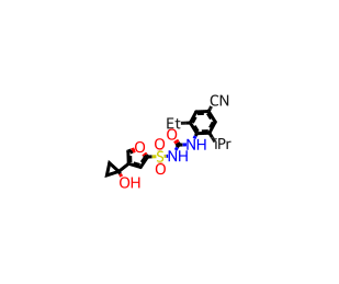 CCc1cc(C#N)cc(C(C)C)c1NC(=O)NS(=O)(=O)c1cc(C2(O)CC2)co1